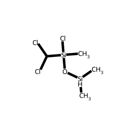 C[SiH](C)O[Si](C)(Cl)C(Cl)Cl